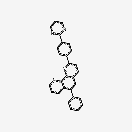 c1ccc(-c2cc3ccc(-c4ccc(-c5ncccn5)cc4)nc3c3ncccc23)cc1